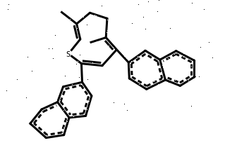 C/C1=C(c2ccc3ccccc3c2)\C=C(\c2ccc3ccccc3c2)S/C=C(\C)CC1